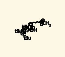 CC(C)(C)CC[N+]1([O-])CC(C2=NP(=O)(O)c3cc(CCCCCS(C)(=O)=O)ccc3N2)=C(O)N1C(C)(C)C